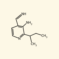 CCC(C)c1nccc(C=N)c1N